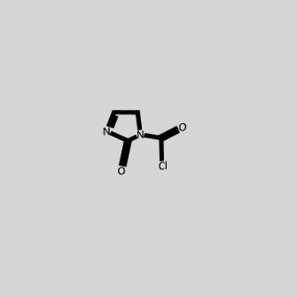 O=C(Cl)N1CC=NC1=O